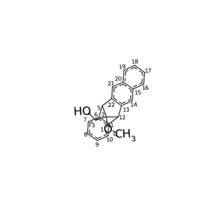 COC1(CO)C2c3ccccc3C1c1cc3ccccc3cc12